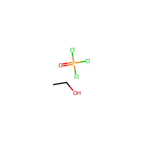 CCO.O=P(Cl)(Cl)Cl